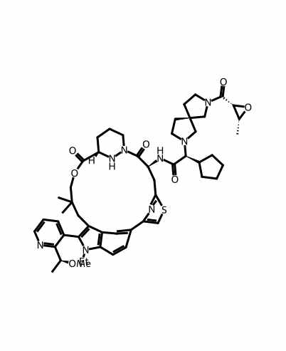 CCn1c(-c2cccnc2[C@H](C)OC)c2c3cc(ccc31)-c1csc(n1)C[C@H](NC(=O)[C@H](C1CCCC1)N1CC[C@]3(CCN(C(=O)[C@@H]4O[C@@H]4C)C3)C1)C(=O)N1CCC[C@H](N1)C(=O)OCC(C)(C)C2